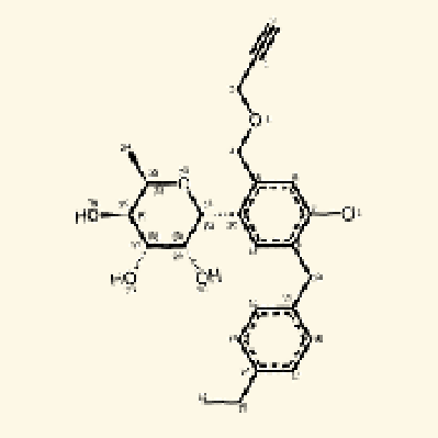 C#CCOCc1cc(Cl)c(Cc2ccc(CC)cc2)cc1[C@H]1O[C@H](C)[C@H](O)[C@@H](O)[C@H]1O